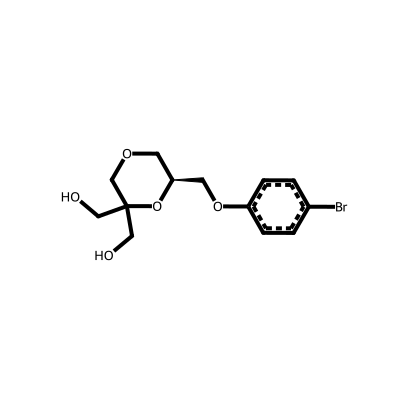 OCC1(CO)COC[C@@H](COc2ccc(Br)cc2)O1